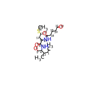 CCC(C)C(C=O)NC(=O)C(CCSC)NC(=O)CCCC=O